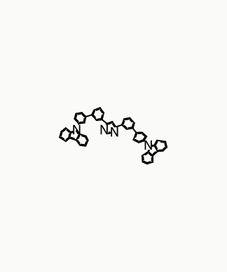 c1cc(-c2ccc(-n3c4ccccc4c4ccccc43)cc2)cc(-c2cc(-c3cccc(-c4cccc(-n5c6ccccc6c6ccccc65)c4)c3)ncn2)c1